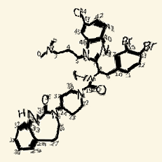 CN(C)CCCn1c(C(Cc2ccc(Br)c(Br)c2)NC(=O)N2CCC(N3CCc4ccccc4NC3=O)CC2)nc2ccc(Cl)cc21